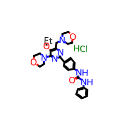 CCOc1c(CN2CCOCC2)nc(-c2ccc(NC(=O)Nc3ccccc3)cc2)nc1N1CCOCC1.Cl